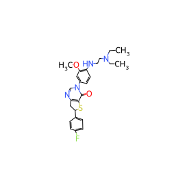 CCN(CC)CCNc1ccc(-n2cnc3c(c2=O)SC(c2ccc(F)cc2)C3)cc1OC